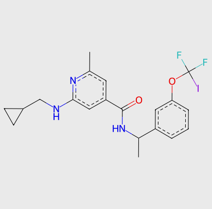 Cc1cc(C(=O)NC(C)c2cccc(OC(F)(F)I)c2)cc(NCC2CC2)n1